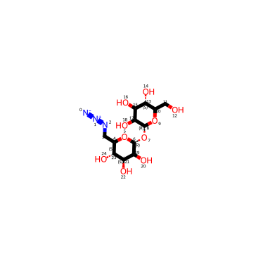 [N-]=[N+]=NCC1O[C@H](O[C@H]2OC(CO)[C@@H](O)C(O)C2O)C(O)[C@@H](O)[C@@H]1O